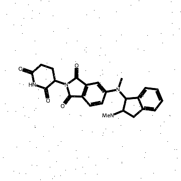 CNC1Cc2ccccc2C1N(C)c1ccc2c(c1)C(=O)N(C1CCC(=O)NC1=O)C2=O